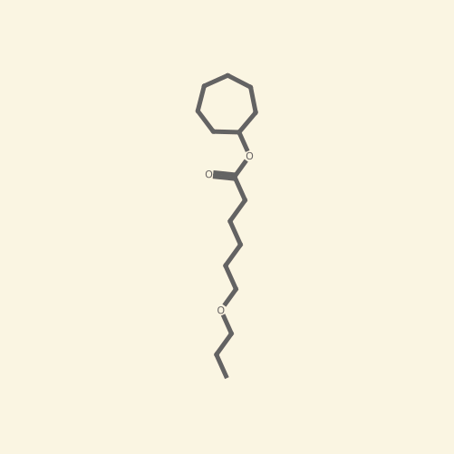 CCCOCCCCCC(=O)OC1CCCCCC1